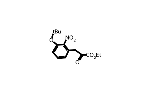 CCOC(=O)C(=O)Cc1cccc(OC(C)(C)C)c1[N+](=O)[O-]